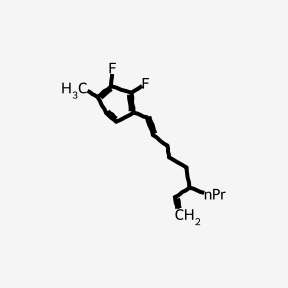 C=CC(CCC)CCC/C=C/c1ccc(C)c(F)c1F